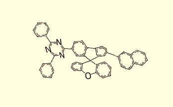 c1ccc(-c2nc(-c3ccccc3)nc(-c3ccc4c(c3)C3(c5ccccc5Oc5ccccc53)c3cc(-c5ccc6ccccc6c5)ccc3-4)n2)cc1